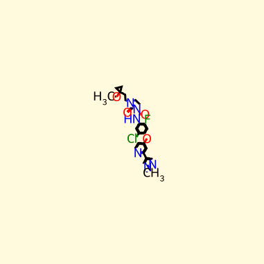 COC1(CCN2CCN(C(=O)Nc3cc(Cl)c(Oc4ccnc(-c5cnn(C)c5)c4)cc3F)C2=O)CC1